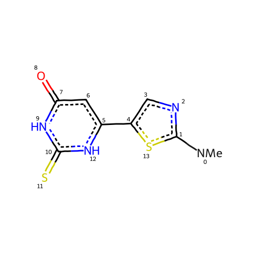 CNc1ncc(-c2cc(=O)[nH]c(=S)[nH]2)s1